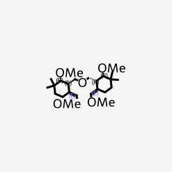 CO/C=C1\CCC(C)(C)[C@H](OC)[C@H]1COC[C@H]1/C(=C/OC)CCC(C)(C)[C@@H]1OC